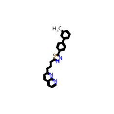 Cc1cccc(-c2ccc(-c3nnc(CCCc4ccc5cccnc5n4)s3)cc2)c1